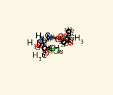 COc1ccc(C(C#N)(CCCN(C)CCCOC(=O)c2cccc3c(=O)c(C)c(-c4ccccc4)oc23)C(C)C=O)cc1OC.Cl